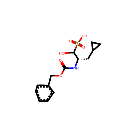 O=C(N[C@@H](CC1CC1)C(O)S(=O)(=O)O)OCc1ccccc1